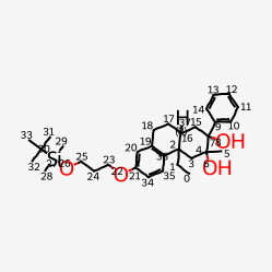 CCC12CC(C)(O)C(O)(c3ccccc3)C[C@H]1CCc1cc(OCCCO[Si](C)(C)C(C)(C)C)ccc12